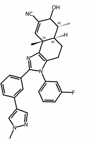 C[C@H]1C(O)C(C#N)=C[C@@]2(C)c3nc(-c4cccc(-c5cnn(C)c5)c4)n(-c4cccc(F)c4)c3CC[C@H]12